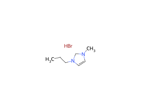 Br.CCCN1C=CN(C)C1